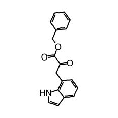 O=C(Cc1cccc2cc[nH]c12)C(=O)OCc1ccccc1